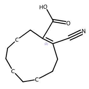 N#C/C1=C(\C(=O)O)CCCCCCCCC1